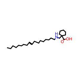 CCCCCCCCC=CCCCCCCCCNCC1(C(=O)O)CCCCC1